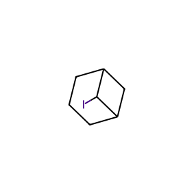 IC1C2CCCC1C2